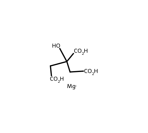 O=C(O)CC(O)(CC(=O)O)C(=O)O.[Mg]